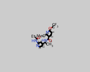 CCC(=O)Nc1cc(C(C)NC(=O)c2ccc(OCC(F)(F)F)nc2OC)ccn1